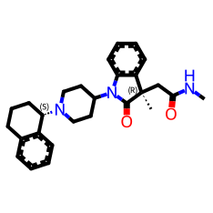 CNC(=O)C[C@@]1(C)C(=O)N(C2CCN([C@H]3CCCc4ccccc43)CC2)c2ccccc21